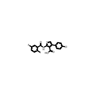 O=C(Nc1scc(-c2ccc(Cl)cc2)c1C(=O)O)c1cc(F)ccc1I